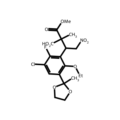 CCOc1c(C2(C)OCCO2)cc(Cl)c(F)c1C(C[N+](=O)[O-])C(C)(C(=O)O)C(=O)OC